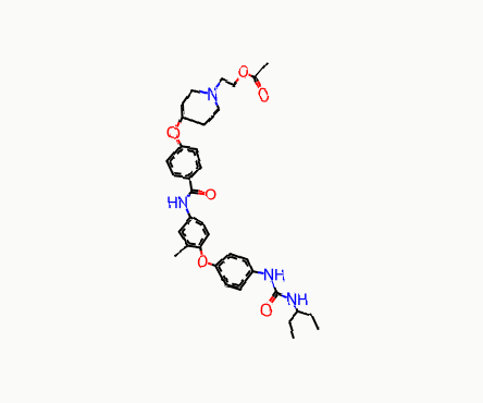 CCC(CC)NC(=O)Nc1ccc(Oc2ccc(NC(=O)c3ccc(OC4CCN(CCOC(C)=O)CC4)cc3)cc2C)cc1